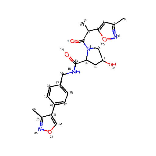 Cc1cc(C(C(=O)N2CC(O)CC2C(=O)NCc2ccc(-c3conc3C)cc2)C(C)C)on1